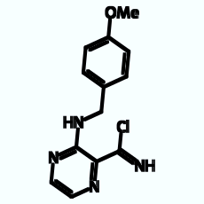 COc1ccc(CNc2nccnc2C(=N)Cl)cc1